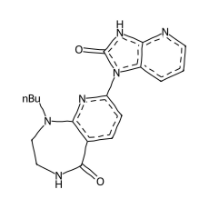 CCCCN1CCNC(=O)c2ccc(-n3c(=O)[nH]c4ncccc43)nc21